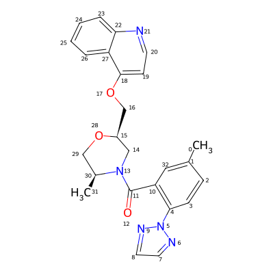 Cc1ccc(-n2nccn2)c(C(=O)N2C[C@H](COc3ccnc4ccccc34)OC[C@@H]2C)c1